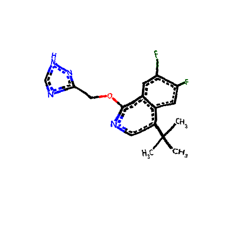 CC(C)(C)c1cnc(OCc2nc[nH]n2)c2cc(F)c(F)cc12